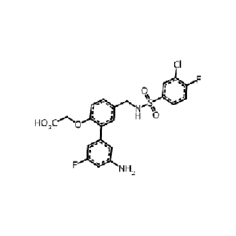 Nc1cc(F)cc(-c2cc(CNS(=O)(=O)c3ccc(F)c(Cl)c3)ccc2OCC(=O)O)c1